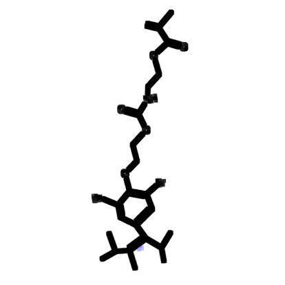 C=C(C)C(=O)OCCNC(=O)OCCOc1c(Br)cc(/C(=C(/C)C(C)C)C(C)C)cc1Br